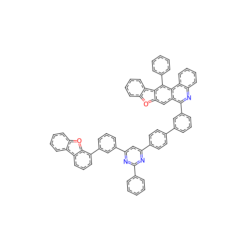 c1ccc(-c2nc(-c3ccc(-c4cccc(-c5nc6ccccc6c6c(-c7ccccc7)c7c(cc56)oc5ccccc57)c4)cc3)cc(-c3cccc(-c4cccc5c4oc4ccccc45)c3)n2)cc1